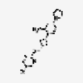 CCc1cnc(OC[C@H]2C[C@H](c3ccc(N4CCCC4)cc3C)C2)nc1